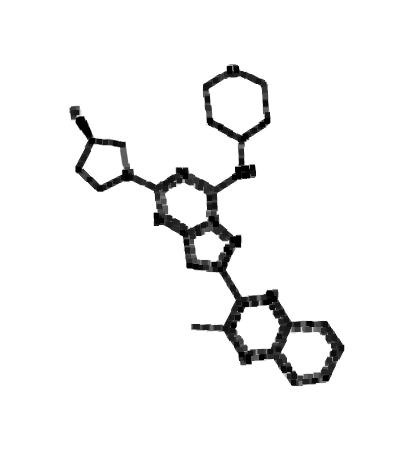 Cc1nc2ccccc2nc1-c1cc2nc(N3CC[C@@H](F)C3)nc(NC3CCOCC3)n2n1